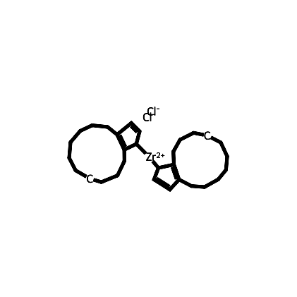 C1=C[CH]([Zr+2][CH]2C=CC3=C2CCCCCCCCCC3)C2=C1CCCCCCCCCC2.[Cl-].[Cl-]